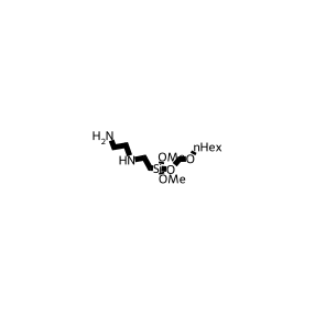 CCCCCCOCO[Si](CCNCCN)(OC)OC